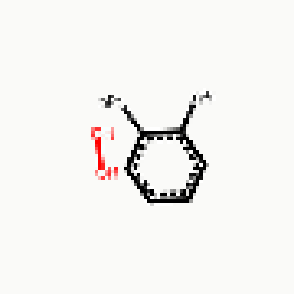 CCCc1ccccc1CCC.OO